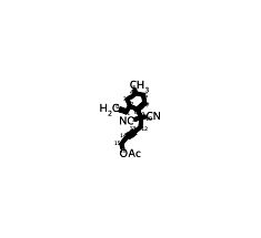 C=CC1CC(C)CC=C1C(C#N)(C#N)CC#CCOC(C)=O